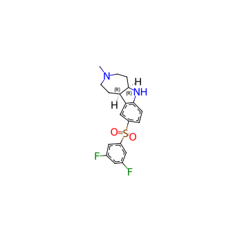 CN1CC[C@@H]2c3cc(S(=O)(=O)c4cc(F)cc(F)c4)ccc3N[C@@H]2CC1